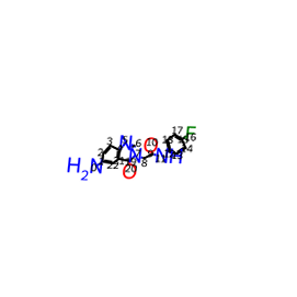 Nc1ccc2ncn(CC(=O)Nc3ccc(F)cc3)c(=O)c2c1